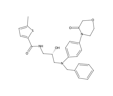 Cc1ccc(C(=O)NC[C@H](O)CN(Cc2ccccc2)c2ccc(N3CCOCC3=O)cc2)s1